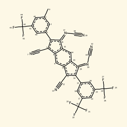 Cc1cc(-c2c(C#N)c3cc4c(C#N)c(-c5cc(C(F)(F)F)cc(C(F)(F)F)c5)/c(=N/C#N)c4cc3/c2=N\C#N)cc(C(F)(F)F)c1